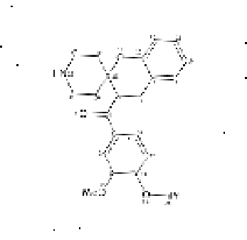 COc1cc(C(=O)C2Cc3ccccc3OC23CCNCC3)ccc1OC(C)C